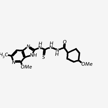 COc1nc(C)cc2nc(NC(=S)NNC(=O)C3CCC(OC)CC3)[nH]c12